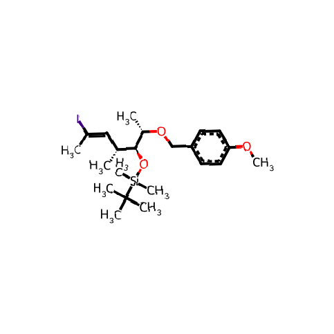 COc1ccc(CO[C@@H](C)[C@@H](O[Si](C)(C)C(C)(C)C)[C@H](C)/C=C(\C)I)cc1